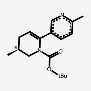 Cc1ccc(C2=CC[C@H](C)CN2C(=O)OC(C)(C)C)cn1